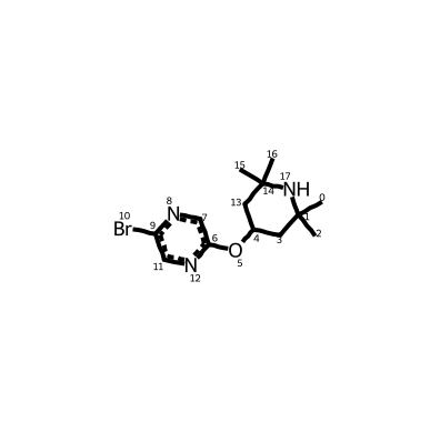 CC1(C)CC(Oc2cnc(Br)cn2)CC(C)(C)N1